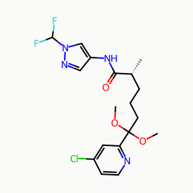 COC(CCC[C@@H](C)C(=O)Nc1cnn(C(F)F)c1)(OC)c1cc(Cl)ccn1